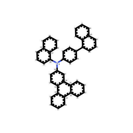 c1ccc2c(-c3ccc(N(c4ccc5c6ccccc6c6ccccc6c5c4)c4cccc5ccccc45)cc3)cccc2c1